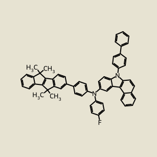 CC1(C)C2=C(c3ccccc31)C(C)(C)c1cc(-c3ccc(N(c4ccc(F)cc4)c4ccc5c(c4)c4c6ccccc6ccc4n5-c4ccc(-c5ccccc5)cc4)cc3)ccc12